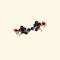 CCC1(COc2ccc(C3(c4cc(C)ccc4C)c4ccccc4-c4ccc(N(c5ccc(-c6ccc(N(c7ccc8c(c7)C(c7ccc(OCC9(CC)COC9)cc7)(c7cc(C)ccc7C)c7ccccc7-8)c7ccccc7F)cc6)cc5)c5ccccc5F)cc43)cc2)COC1